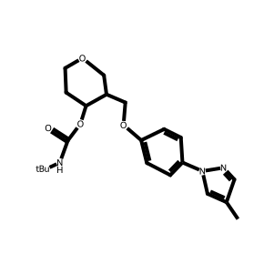 Cc1cnn(-c2ccc(OCC3COCCC3OC(=O)NC(C)(C)C)cc2)c1